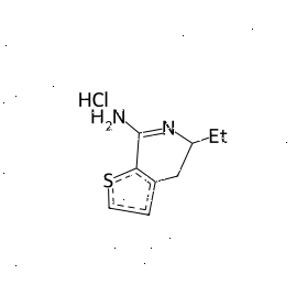 CCC1Cc2ccsc2C(N)=N1.Cl